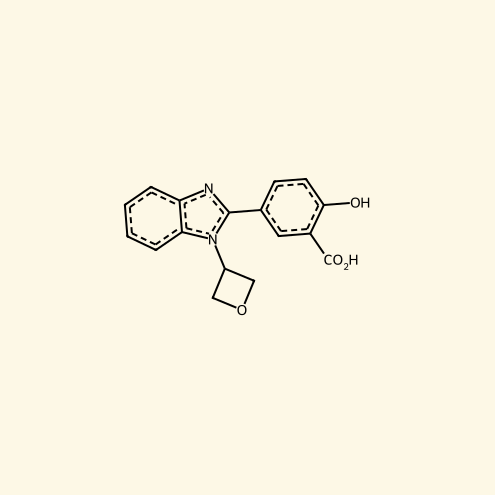 O=C(O)c1cc(-c2nc3ccccc3n2C2COC2)ccc1O